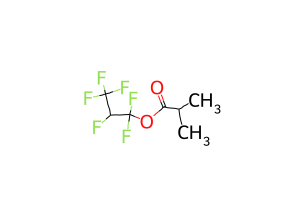 CC(C)C(=O)OC(F)(F)C(F)C(F)(F)F